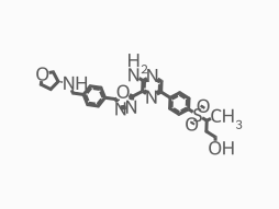 CC(CCO)S(=O)(=O)c1ccc(-c2cnc(N)c(-c3nnc(-c4ccc(CN[C@@H]5CCOC5)cc4)o3)n2)cc1